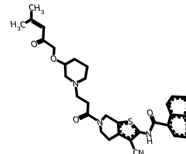 CC(C)=CC(=O)COC1CCCN(CCC(=O)N2CCc3c(sc(NC(=O)c4cccc5ccccc45)c3C#N)C2)C1